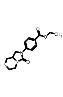 CCOC(=O)c1ccc(N2CC3CNCCN3C2=O)cc1